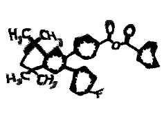 CC1(C)CCC(C)(C)c2cc(-c3ccc(C(=O)OC(=O)c4ccccc4)cc3)c(-c3ccc(F)cc3)cc21